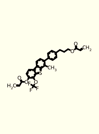 C=CC(=O)OCCCc1ccc(-c2ccc3c(sc4c(OC(F)(F)F)c(OC(=O)C=C)ccc43)c2C)cc1